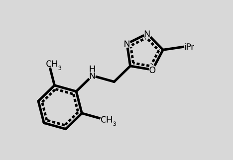 Cc1cccc(C)c1NCc1nnc(C(C)C)o1